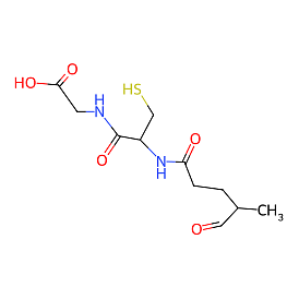 CC(C=O)CCC(=O)NC(CS)C(=O)NCC(=O)O